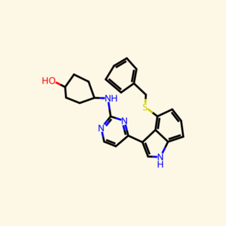 OC1CCC(Nc2nccc(-c3c[nH]c4cccc(SCc5ccccc5)c34)n2)CC1